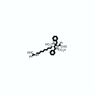 CC(C)C(C=O)NCCCCCCCCC[C@@H](Cc1ccccc1)C(Cc1ccccc1)(NC(=O)O)N(NC(=O)O)[C@H](C=O)C(C)C